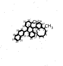 CC1/C=C\C=C/CSc2c(-c3c4c(c(-c5ccc6ccccc6c5)c5ccccc35)C=CCC4C)cccc21